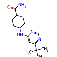 CC(C)(C)c1cc(N[C@H]2CC[C@H](C(N)=O)CC2)ncn1